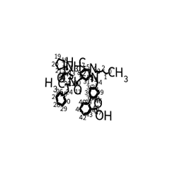 CCCc1nc2c(C)cc(C(=O)N(SC(=O)C3(N)CCCC3)C(C)Cc3ccccc3)cc2n1Cc1ccc(-c2ccccc2C(=O)O)cc1